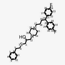 OC(CSCCc1ccccc1)CN1CCN(CCCC(c2ccc(F)cc2)c2ccc(F)cc2)CC1